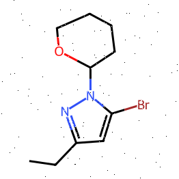 CCc1cc(Br)n(C2CCCCO2)n1